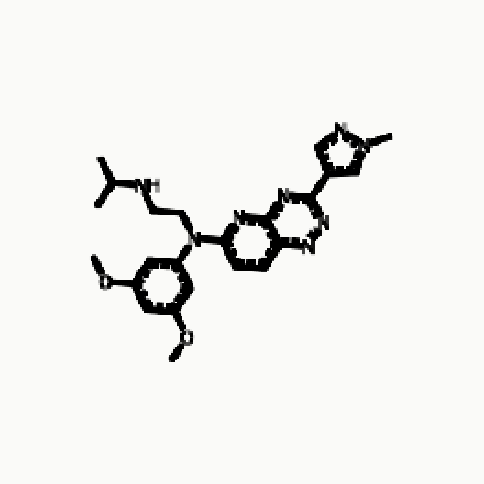 COc1cc(OC)cc(N(CCNC(C)C)c2ccc3nnc(-c4cnn(C)c4)nc3n2)c1